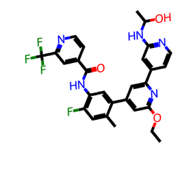 CCOc1cc(-c2cc(NC(=O)c3ccnc(C(F)(F)F)c3)c(F)cc2C)cc(-c2ccnc(NC(C)O)c2)n1